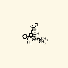 CN(C)/C=N/S(=O)(=O)c1cc(C2(C)CCCCC2)cc(CNC(=O)CCl)c1O